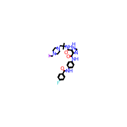 CC(C)(CN1CCN(CI)CC1)NC(=O)c1[nH]cnc1C(=O)Nc1ccc(NC(=O)c2ccc(F)cc2)cc1